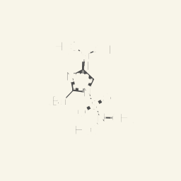 CN(C)S(=O)(=O)n1cc([SiH](C)C)nc1C(C)(C)C